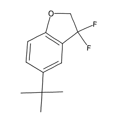 CC(C)(C)c1ccc2c(c1)C(F)(F)CO2